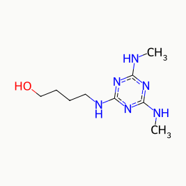 CNc1nc(NC)nc(NCCCCO)n1